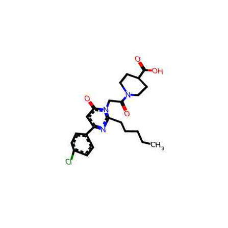 CCCCCc1nc(-c2ccc(Cl)cc2)cc(=O)n1CC(=O)N1CCC(C(=O)O)CC1